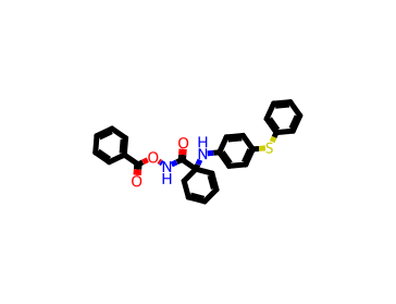 O=C(ONC(=O)C1(Nc2ccc(Sc3ccccc3)cc2)C=CC=CC1)c1ccccc1